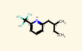 CCC(C)Cc1cccc(C(F)(F)F)n1